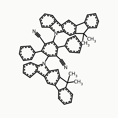 CC1(C)c2ccccc2-c2cc3c4ccccc4n(-c4c(C#N)c(-c5ccccc5)c(-n5c6ccccc6c6cc7c(cc65)C(C)(C)c5ccccc5-7)c(C#N)c4-c4ccccc4)c3cc21